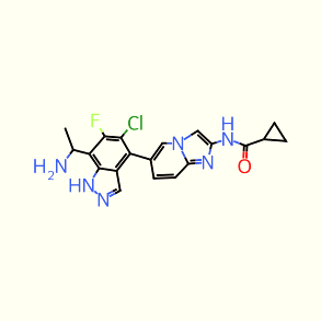 CC(N)c1c(F)c(Cl)c(-c2ccc3nc(NC(=O)C4CC4)cn3c2)c2cn[nH]c12